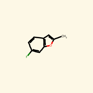 Cc1cc2ccc(F)cc2o1